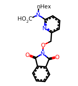 CCCCCCN(C(=O)O)c1cccc(CON2C(=O)c3ccccc3C2=O)n1